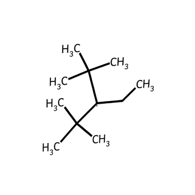 CC[C](C(C)(C)C)C(C)(C)C